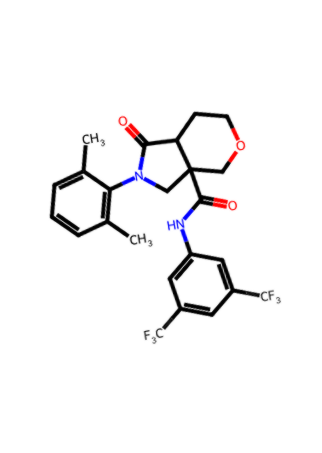 Cc1cccc(C)c1N1CC2(C(=O)Nc3cc(C(F)(F)F)cc(C(F)(F)F)c3)COCCC2C1=O